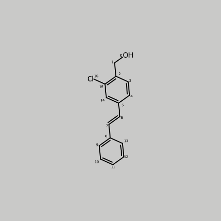 OCc1ccc(C=Cc2ccccc2)cc1Cl